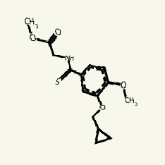 COC(=O)CNC(=S)c1ccc(OC)c(OCC2CC2)c1